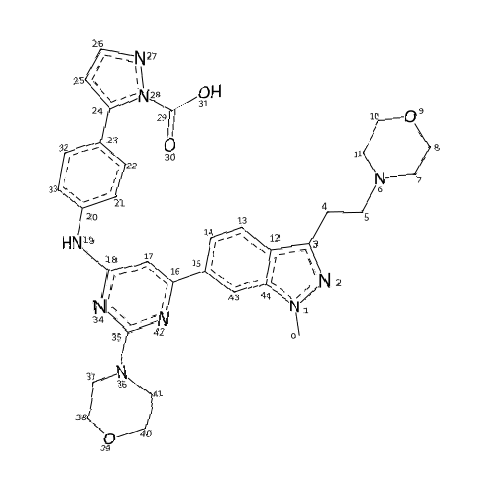 Cn1nc(CCN2CCOCC2)c2ccc(-c3cc(Nc4ccc(-c5ccnn5C(=O)O)cc4)nc(N4CCOCC4)n3)cc21